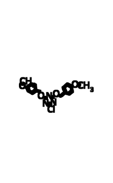 COc1ccc(COc2nc(Cl)nc(OCc3ccc(OC)cc3)n2)cc1